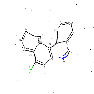 Clc1cc2ncc3ccccc3c2c2ccccc12